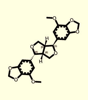 COc1cc([C@H]2OC[C@H]3[C@@H]2CO[C@H]3c2cc(OC)c3c(c2)OCO3)cc2c1OCO2